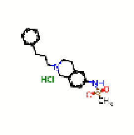 CS(=O)(=O)Nc1ccc2c(c1)CCN(CCCc1ccccc1)C2.Cl